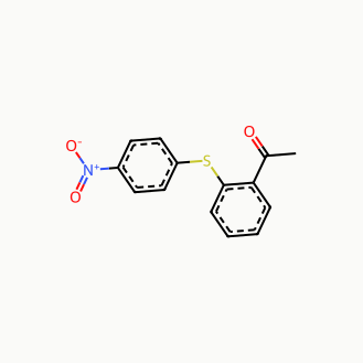 CC(=O)c1ccccc1Sc1ccc([N+](=O)[O-])cc1